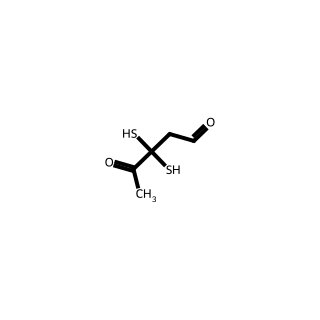 CC(=O)C(S)(S)CC=O